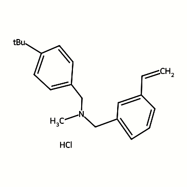 C=Cc1cccc(CN(C)Cc2ccc(C(C)(C)C)cc2)c1.Cl